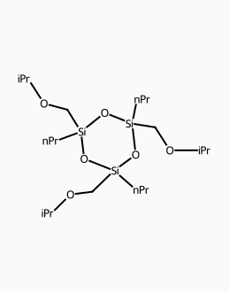 CCC[Si]1(COC(C)C)O[Si](CCC)(COC(C)C)O[Si](CCC)(COC(C)C)O1